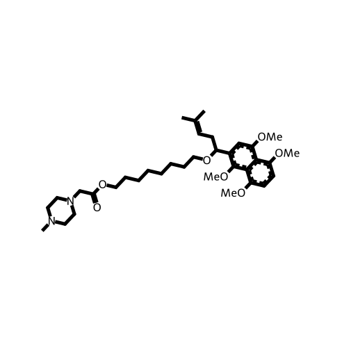 COc1ccc(OC)c2c(OC)c(C(CC=C(C)C)OCCCCCCCCOC(=O)CN3CCN(C)CC3)cc(OC)c12